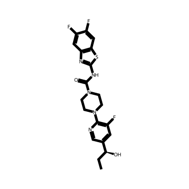 CC[C@H](O)c1cnc(N2CCN(C(=O)Nc3nc4cc(F)c(F)cc4s3)CC2)c(F)c1